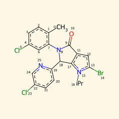 Cc1ccc(Cl)cc1N1C(=O)c2cc(Br)n(C(C)C)c2C1c1ccc(Cl)cn1